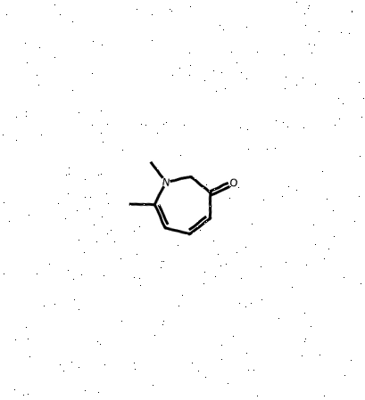 CC1=CC=CC(=O)CN1C